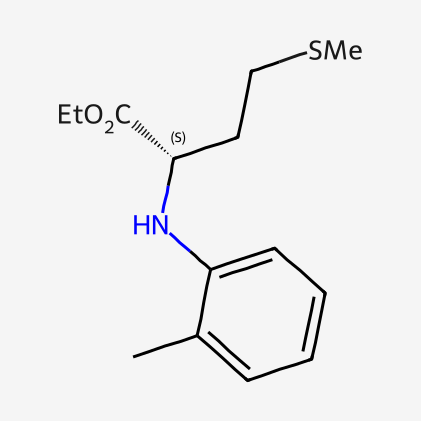 CCOC(=O)[C@H](CCSC)Nc1ccccc1C